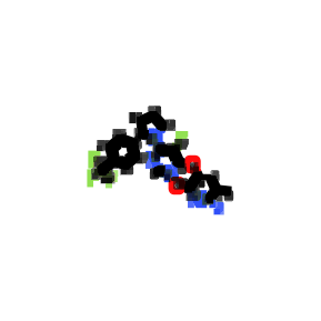 CC(C)C[C@@H](Oc1ncnc(N2CCC[C@H]2c2ccc(C(F)(F)F)cc2)c1F)C(N)=O